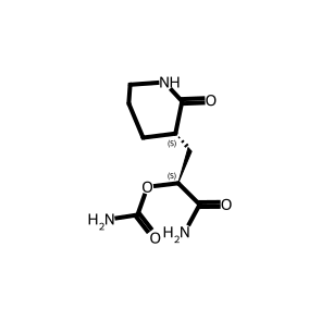 NC(=O)O[C@@H](C[C@@H]1CCCNC1=O)C(N)=O